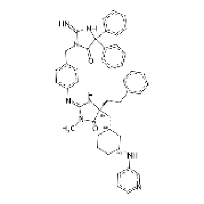 CN1C(=O)[C@@](CCc2ccccc2)(C[C@H]2CCC[C@@H](Nc3cccnc3)C2)NC1=Nc1ccc(CN2C(=N)NC(c3ccccc3)(c3ccccc3)C2=O)cc1